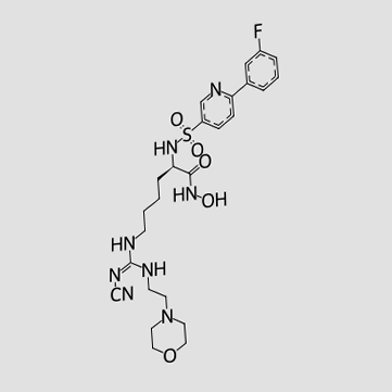 N#C/N=C(/NCCCC[C@@H](NS(=O)(=O)c1ccc(-c2cccc(F)c2)nc1)C(=O)NO)NCCN1CCOCC1